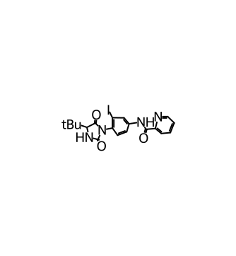 CC(C)(C)C1NC(=O)N(c2ccc(NC(=O)c3ccccn3)cc2I)C1=O